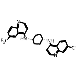 FC(F)(F)c1ccc2nccc(N[C@H]3CC[C@@H](Nc4ccnc5cc(Cl)ccc45)CC3)c2c1